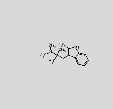 BN(C)C(C)(C)CC1c2ccccc2NC1P